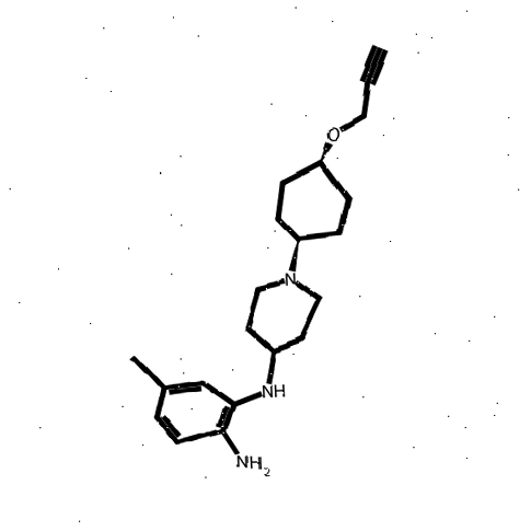 C#CCO[C@H]1CC[C@@H](N2CCC(Nc3cc(C)ccc3N)CC2)CC1